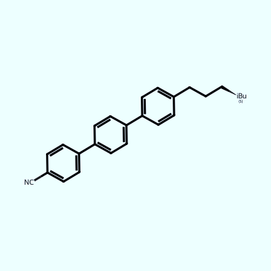 CC[C@H](C)CCCc1ccc(-c2ccc(-c3ccc(C#N)cc3)cc2)cc1